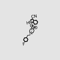 N#Cc1c[nH]c2c(S(=O)(=O)N3CCN(CCc4ccc(F)cc4)CC3)cccc12